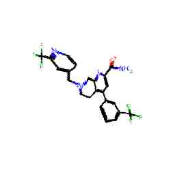 NC(=O)c1cc(-c2cccc(C(F)(F)F)c2)c2c(n1)CN(Cc1ccnc(C(F)(F)F)c1)CC2